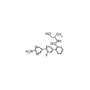 CC(CO)N[S+]([O-])c1ccccc1-c1ccc(-c2cnc(N)nc2)c(F)c1